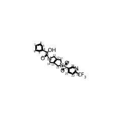 O=C([C@H](O)c1ccccc1)N1CC2=C(C1)CN(S(=O)(=O)c1ccc(C(F)(F)F)nc1)C2